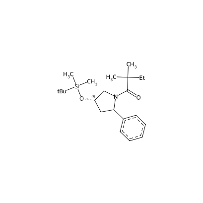 CCC(C)(C)C(=O)N1C[C@@H](O[Si](C)(C)C(C)(C)C)CC1c1ccccc1